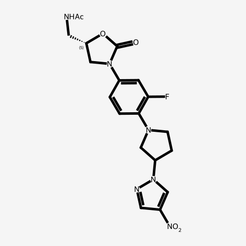 CC(=O)NC[C@H]1CN(c2ccc(N3CCC(n4cc([N+](=O)[O-])cn4)C3)c(F)c2)C(=O)O1